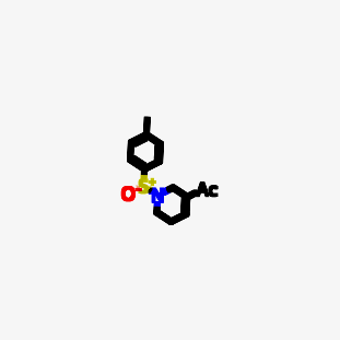 CC(=O)C1=CCCN([S+]([O-])c2ccc(C)cc2)C1